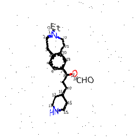 CCN1CCc2ccc(C(CCC3CCNCC3)OC=O)cc2CC1